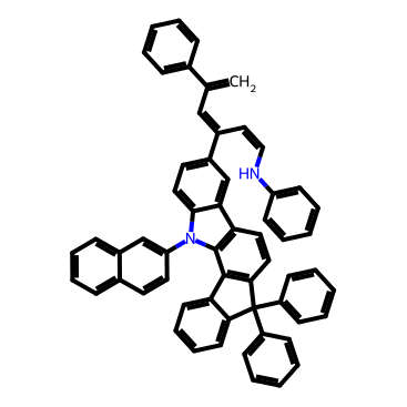 C=C(/C=C(\C=C/Nc1ccccc1)c1ccc2c(c1)c1ccc3c(c1n2-c1ccc2ccccc2c1)-c1ccccc1C3(c1ccccc1)c1ccccc1)c1ccccc1